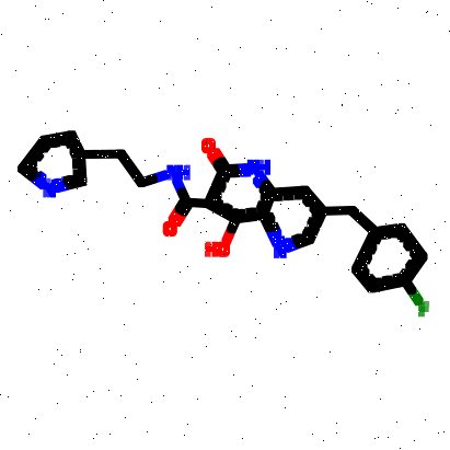 O=C(NCCc1cccnc1)c1c(O)c2ncc(Cc3ccc(F)cc3)cc2[nH]c1=O